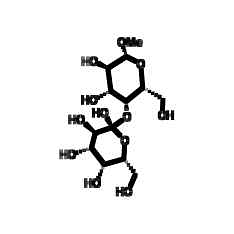 CO[C@@H]1O[C@H](CO)[C@H](O[C@]2(O)O[C@H](CO)[C@H](O)[C@H](O)[C@H]2O)[C@H](O)[C@H]1O